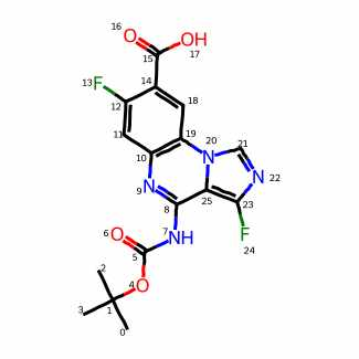 CC(C)(C)OC(=O)Nc1nc2cc(F)c(C(=O)O)cc2n2cnc(F)c12